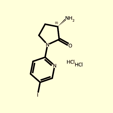 Cl.Cl.N[C@H]1CCN(c2ccc(I)cn2)C1=O